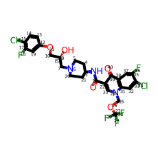 O=C(NC1CCN(C[C@H](O)COc2ccc(Cl)c(F)c2)CC1)c1cn(COC(F)(F)F)c2cc(Cl)c(F)cc2c1=O